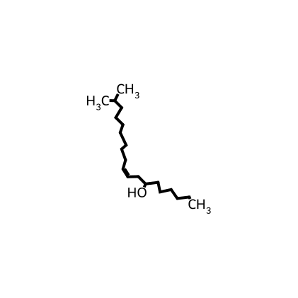 CCCCCCC(O)C/C=C\CCCCCCCC(C)C